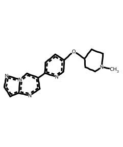 CN1CCC(Oc2ccc(-c3cnc4ccnn4c3)nc2)CC1